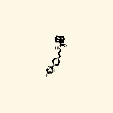 O=C(NCCCN1CCN(c2ncc(F)cn2)CC1)C12CC3CC(CC(C3)C1)C2